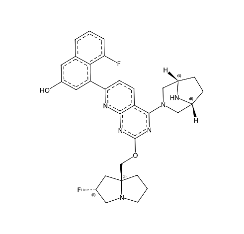 Oc1cc(-c2ccc3c(N4C[C@H]5CC[C@@H](C4)N5)nc(OC[C@@]45CCCN4C[C@H](F)C5)nc3n2)c2c(F)cccc2c1